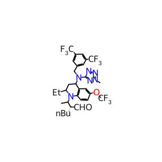 CCCC[C@@H](C=O)C(C)N1c2ccc(OC(F)(F)F)cc2C(N(Cc2cc(C(F)(F)F)cc(C(F)(F)F)c2)c2nnn(C)n2)CC1CC